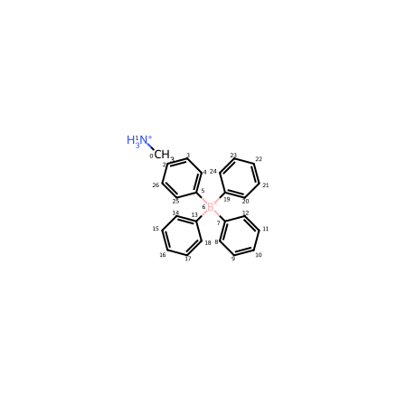 C[NH3+].c1ccc([B-](c2ccccc2)(c2ccccc2)c2ccccc2)cc1